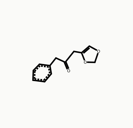 O=C(CC1=COCO1)Cc1ccccc1